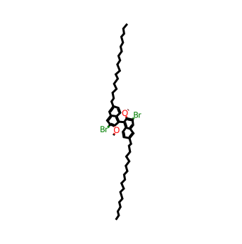 CCCCCCCCCCCCCCCCCCc1ccc2c(-c3c(OC)c(Br)cc4cc(CCCCCCCCCCCCCCCCCC)ccc34)c(OC)c(Br)cc2c1